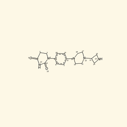 O=C1CCN(c2ccc(N3CCN(C4CNC4)CC3)cc2)C(=O)N1